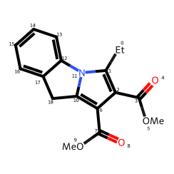 CCc1c(C(=O)OC)c(C(=O)OC)c2n1-c1ccccc1C2